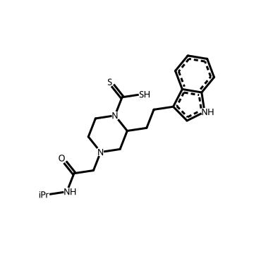 CC(C)NC(=O)CN1CCN(C(=S)S)C(CCc2c[nH]c3ccccc23)C1